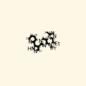 CCC1c2nnc(C)n2-c2cnc(-c3cn[nH]c3-c3ccccn3)nc2N1C(C)C